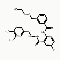 Cc1ccc(CNNC(=O)c2cc(Cl)ccc2NC(=O)c2cccc(CSCCO)c2)cc1C